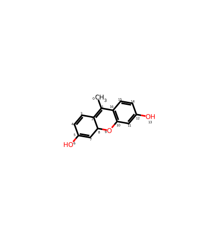 CC1=C2C=CC(O)=CC2Oc2cc(O)ccc21